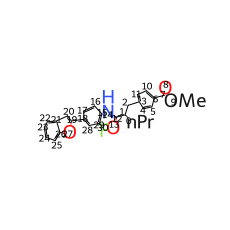 CCCC(Cc1ccc(C(=O)OC)cc1)C(=O)Nc1ccc(-c2cc3ccccc3o2)cc1F